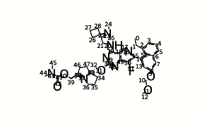 CCc1cccc2cc(OCOC)cc(-c3ncc4c(NCC5(N(C)C)CCC5)nc(OC[C@]56CCCN5[C@@H](COC(=O)N(C)C)CC6)nc4c3F)c12